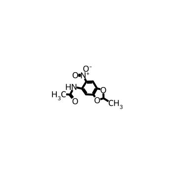 CC(=O)Nc1cc2c(cc1[N+](=O)[O-])OC(C)O2